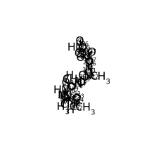 COc1cc(N2CCC(CN3C(C)CN(c4ccc5c(c4)C(=O)N(C4CCC(=O)NC4=O)C5=O)CC3C)CC2)ccc1Nc1ncc(Cl)c(Nc2ccccc2P(C)C)n1